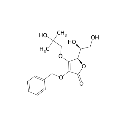 CC(C)(O)COC1=C(OCc2ccccc2)C(=O)O[C@@H]1[C@@H](O)CO